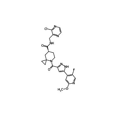 COc1cc(-c2cc(C(=O)N3CC[C@H](C(=O)NCc4nccnc4Cl)CC34CC4)n[nH]2)c(F)cn1